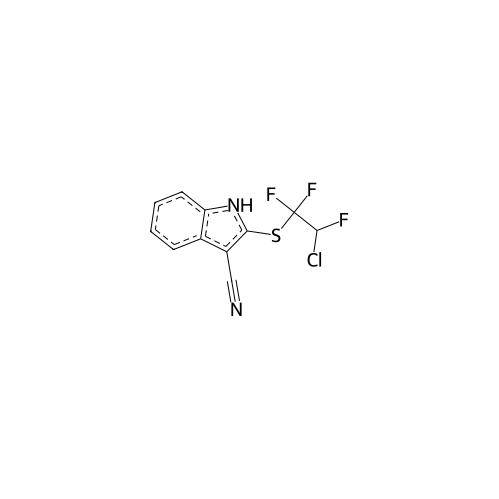 N#Cc1c(SC(F)(F)C(F)Cl)[nH]c2ccccc12